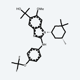 COc1cc2c(cc1C(C)(C)O)nc(Nc1ccc(OC(C)(F)F)cc1)n2[C@H]1C[C@@H](C)CC(C)(C)C1